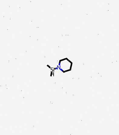 C[SiH](C)N1CCCCC1